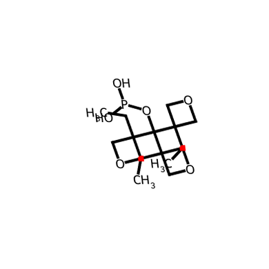 CCC1(C(OP(O)O)(C2(CC)COC2)C2(CC)COC2)COC1